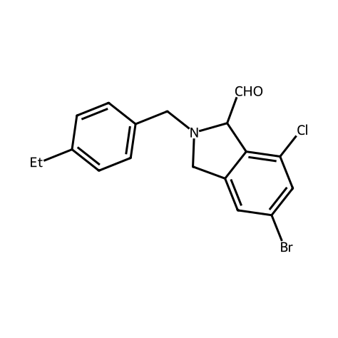 CCc1ccc(CN2Cc3cc(Br)cc(Cl)c3C2C=O)cc1